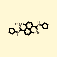 O=Cc1ccc(C(=O)NC2CCCC2)c2c(C(=O)O)ccc(C(=O)NC3CCCC3)c12